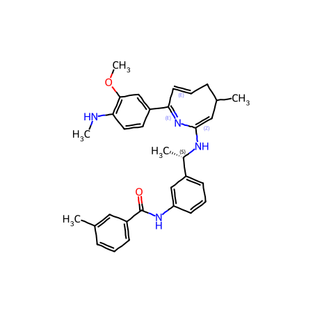 CNc1ccc(C2=N/C(N[C@@H](C)c3cccc(NC(=O)c4cccc(C)c4)c3)=C\C(C)C\C=C\2)cc1OC